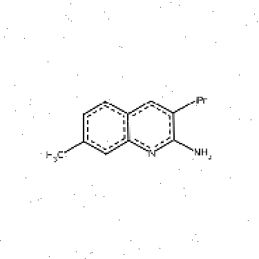 Cc1ccc2cc(C(C)C)c(N)nc2c1